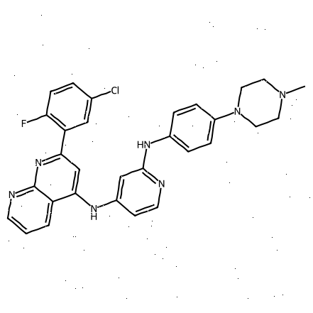 CN1CCN(c2ccc(Nc3cc(Nc4cc(-c5cc(Cl)ccc5F)nc5ncccc45)ccn3)cc2)CC1